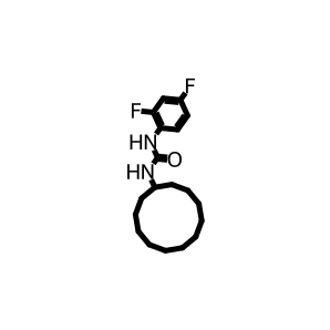 O=C(Nc1ccc(F)cc1F)NC1CCCCCCCCCCC1